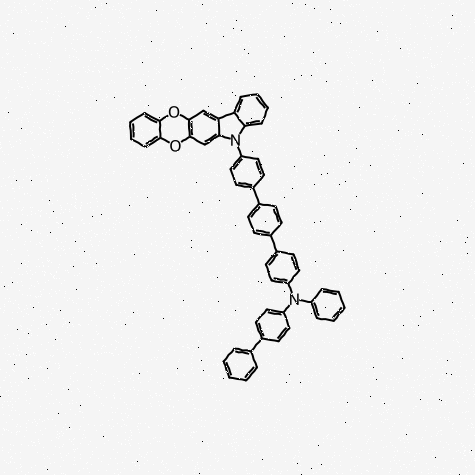 c1ccc(-c2ccc(N(c3ccccc3)c3ccc(-c4ccc(-c5ccc(-n6c7ccccc7c7cc8c(cc76)Oc6ccccc6O8)cc5)cc4)cc3)cc2)cc1